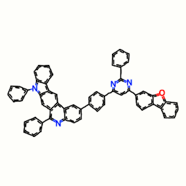 c1ccc(-c2nc(-c3ccc(-c4ccc5nc(-c6ccccc6)c6cc7c(cc6c5c4)c4ccccc4n7-c4ccccc4)cc3)cc(-c3ccc4c(c3)oc3ccccc34)n2)cc1